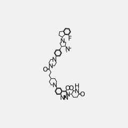 CN(C)[C@H]1CN(C2CCc3cccc(F)c32)C[C@@H]1c1ccc(N2CCN(C(=O)CCC3CCN(c4ccc5nnn(C6CCC(=O)NC6=O)c(=O)c5c4)CC3)CC2)cc1